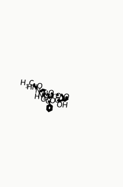 CCNC(=O)Nc1ccn([C@@H]2O[C@H](COCc3occc3C(=O)O)C3O[C@H](c4ccccc4)O[C@@H]32)c(=O)n1